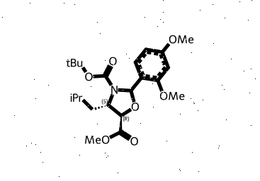 COC(=O)[C@@H]1OC(c2ccc(OC)cc2OC)N(C(=O)OC(C)(C)C)[C@H]1CC(C)C